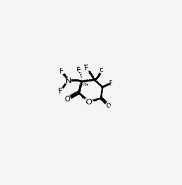 O=C1OC(=O)[C@@](F)(N(F)F)C(F)(F)C1F